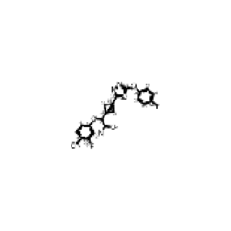 NC(=O)C(Oc1ccc(Cl)c(F)c1)C12CC(c3nnc(Oc4ccc(F)cc4)o3)(C1)C2